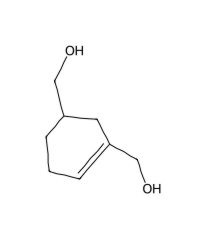 OCC1=CCCC(CO)C1